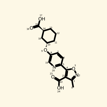 Cc1noc(-c2ccc(O[C@H]3CCC[C@H](C(=O)O)C3)cn2)c1C(=O)O